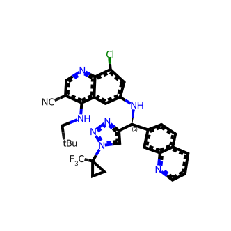 CC(C)(C)CNc1c(C#N)cnc2c(Cl)cc(N[C@@H](c3ccc4cccnc4c3)c3cn(C4(C(F)(F)F)CC4)nn3)cc12